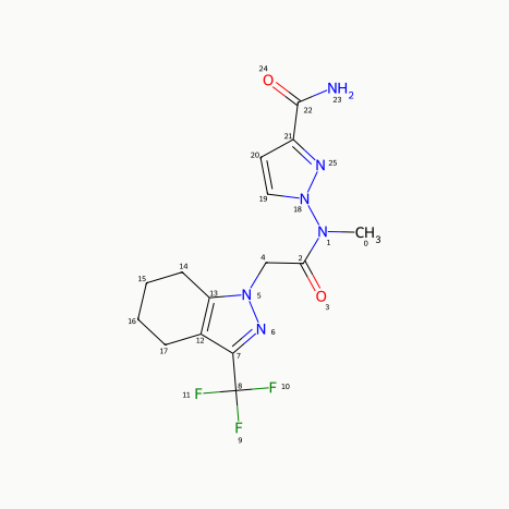 CN(C(=O)Cn1nc(C(F)(F)F)c2c1CCCC2)n1ccc(C(N)=O)n1